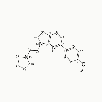 COc1ccc(-c2ccc3ccn(CCN4CCCC4)c3n2)cc1